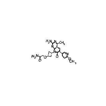 COc1ccc(-c2cc3c(C)nc(N)nc3n(C3CC(OCC(N)=O)C3)c2=O)cn1